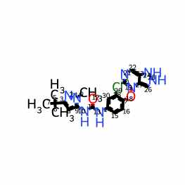 Cn1nc(C(C)(C)C)cc1NC(=O)Nc1ccc(ON2C=NC=C3NNC=C32)c(Cl)c1